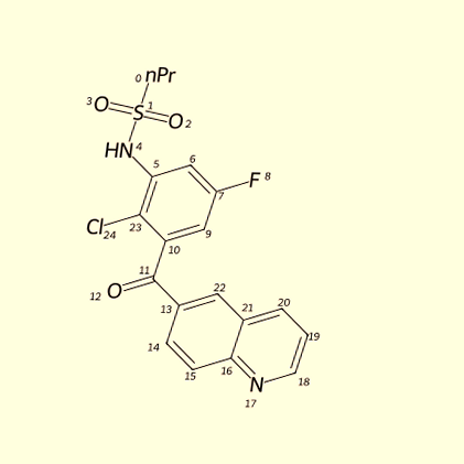 CCCS(=O)(=O)Nc1cc(F)cc(C(=O)c2ccc3ncccc3c2)c1Cl